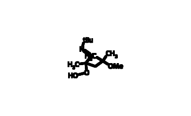 COC(C)(C)CC(C)(N=NC(C)(C)C)OO